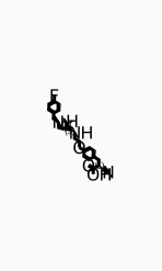 N#C[C@H](Cc1ccc(OCCN[C@H]2C3CN(Cc4ccc(F)cc4)C[C@@H]32)cc1)C(=O)O